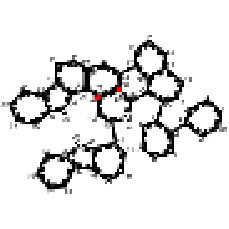 c1ccc(-c2ccccc2-c2ccc3cccc(-c4ccccc4)c3c2-c2nc(-c3cccc4c3sc3ccccc34)cc(-c3cccc4c3sc3ccccc34)n2)cc1